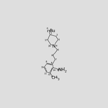 CCCCC1CCN(CCCc2cccc(C)c2N)CC1